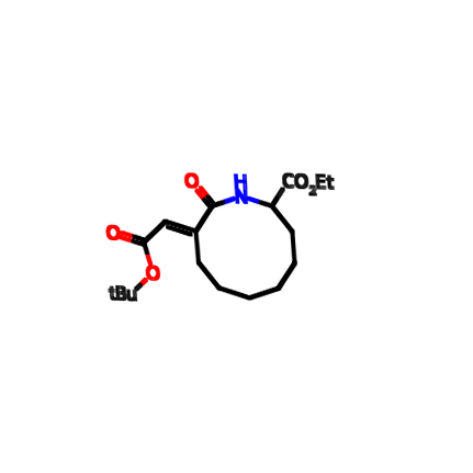 CCOC(=O)C1CCCCCCC(=CC(=O)OC(C)(C)C)C(=O)N1